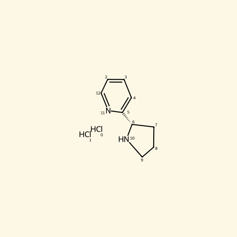 Cl.Cl.c1ccc([C@@H]2CCCN2)nc1